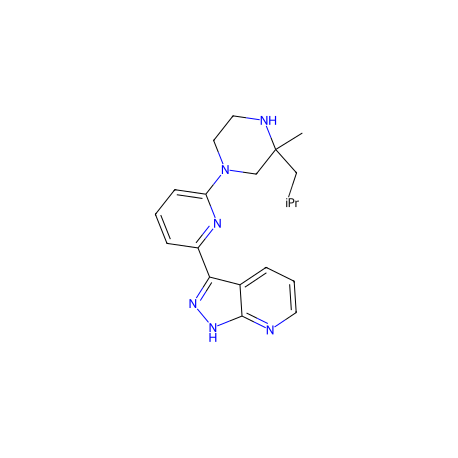 CC(C)CC1(C)CN(c2cccc(-c3n[nH]c4ncccc34)n2)CCN1